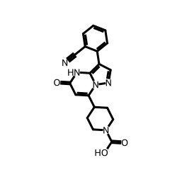 N#Cc1ccccc1-c1cnn2c(C3CCN(C(=O)O)CC3)cc(=O)[nH]c12